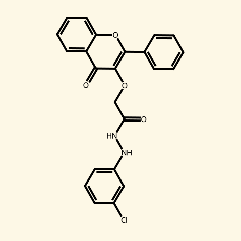 O=C(COc1c(-c2ccccc2)oc2ccccc2c1=O)NNc1cccc(Cl)c1